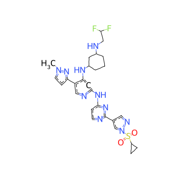 Cn1ccc(-c2cnc(Nc3ccnc(-c4cnn(S(=O)(=O)C5CC5)c4)n3)cc2NC2CCCC(NCC(F)F)C2)n1